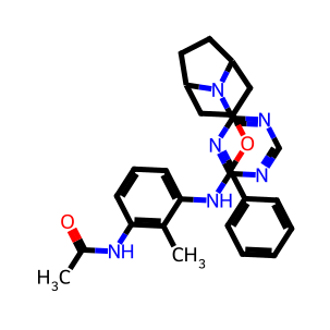 CC(=O)Nc1cccc(Nc2ncnc(N3C4CCC3CC(OCc3ccccc3)C4)n2)c1C